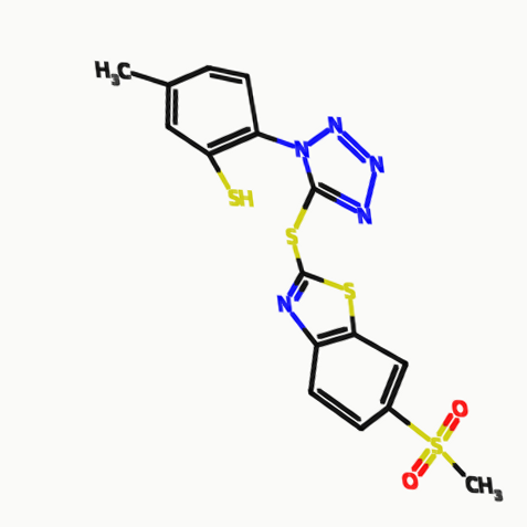 Cc1ccc(-n2nnnc2Sc2nc3ccc(S(C)(=O)=O)cc3s2)c(S)c1